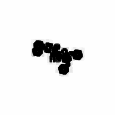 O=C(/C=C(\O)c1cc(Cc2ccccc2)cn(Cc2ccccc2)c1=O)C(=O)N1CCN(c2cccc3ccccc23)CC1